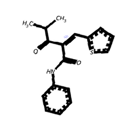 CC(C)C(=O)/C(=C/c1cccs1)C(=O)Nc1ccccc1